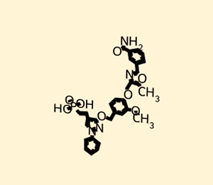 COc1cc(COc2nn(-c3ccccc3)cc2C=CP(=O)(O)O)ccc1OCc1nc(-c2cccc(C(N)=O)c2)oc1C